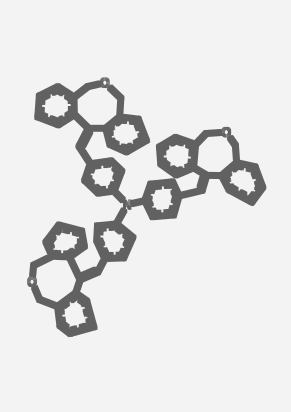 C(=C1c2ccccc2COCc2ccccc21)c1ccc(N(c2ccc(C=C3c4ccccc4COCc4ccccc43)cc2)c2ccc(C=C3c4ccccc4COCc4ccccc43)cc2)cc1